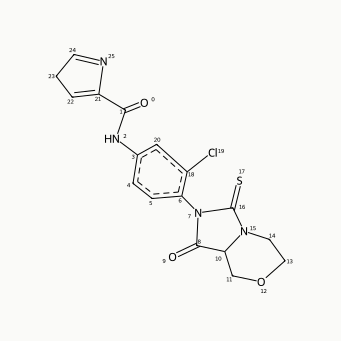 O=C(Nc1ccc(N2C(=O)C3COCCN3C2=S)c(Cl)c1)C1=CCC=N1